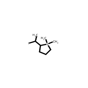 CC(I)C1CCCS1(C)C